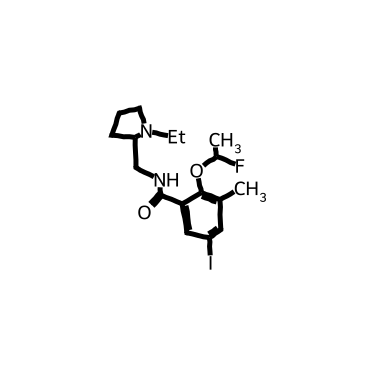 CCN1CCCC1CNC(=O)c1cc(I)cc(C)c1OC(C)F